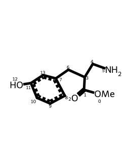 COC(=O)C(CN)Cc1cccc(O)c1